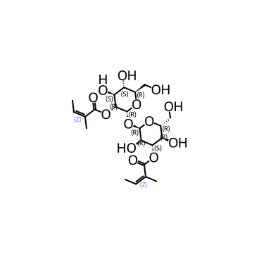 C/C=C(/C)C(=O)O[C@@H]1[C@@H](O)[C@@H](O[C@H]2O[C@H](CO)[C@@H](O)[C@H](O)[C@H]2OC(=O)/C(C)=C\C)O[C@H](CO)[C@H]1O